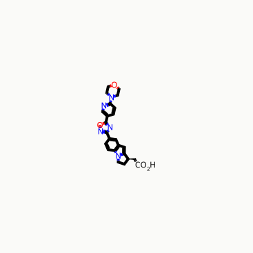 O=C(O)C[C@H]1CCn2c1cc1cc(-c3noc(-c4ccc(N5CCOCC5)nc4)n3)ccc12